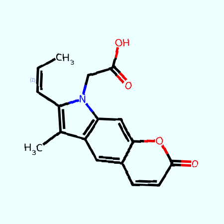 C/C=C\c1c(C)c2cc3ccc(=O)oc3cc2n1CC(=O)O